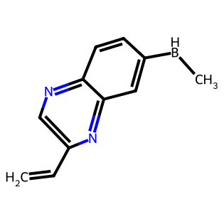 C=Cc1cnc2ccc(BC)cc2n1